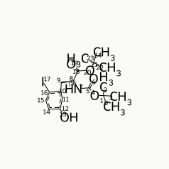 CC(C)(C)OC(=O)N[C@@H](Cc1cc(O)ccc1I)C(=O)OC(C)(C)C